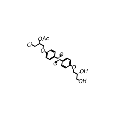 CC(=O)O[C@H](CCl)COc1ccc(S(=O)(=O)c2ccc(OC[C@H](O)CO)cc2)cc1